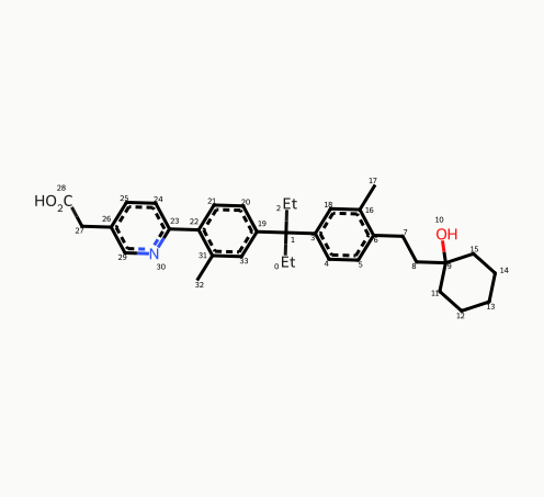 CCC(CC)(c1ccc(CCC2(O)CCCCC2)c(C)c1)c1ccc(-c2ccc(CC(=O)O)cn2)c(C)c1